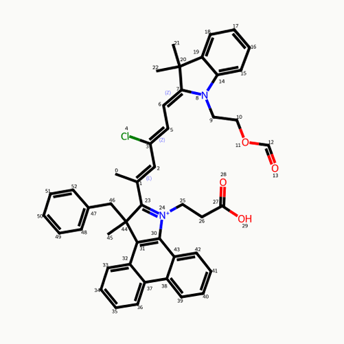 C\C(=C/C(Cl)=C/C=C1\N(CCOC=O)c2ccccc2C1(C)C)C1=[N+](CCC(=O)O)c2c(c3ccccc3c3ccccc23)C1(C)Cc1ccccc1